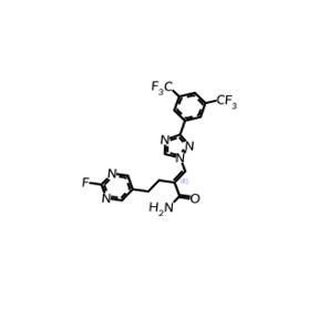 NC(=O)/C(=C/n1cnc(-c2cc(C(F)(F)F)cc(C(F)(F)F)c2)n1)CCc1cnc(F)nc1